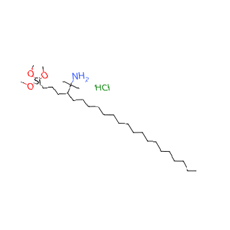 CCCCCCCCCCCCCCCCCCC(CCC[Si](OC)(OC)OC)C(C)(C)N.Cl